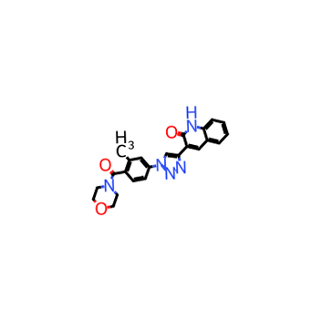 Cc1cc(-n2cc(-c3cc4ccccc4[nH]c3=O)nn2)ccc1C(=O)N1CCOCC1